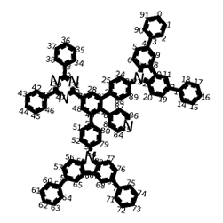 c1ccc(-c2ccc3c(c2)c2cc(-c4ccccc4)ccc2n3-c2ccc(-c3cc(-c4nc(-c5ccccc5)nc(-c5ccccc5)n4)cc(-c4ccc(-n5c6ccc(-c7ccccc7)cc6c6cc(-c7ccccc7)ccc65)cc4)c3-c3ccncc3)cc2)cc1